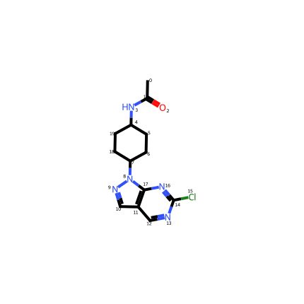 CC(=O)NC1CCC(n2ncc3cnc(Cl)nc32)CC1